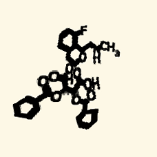 CNCC1OCCc2cccc(F)c21.O=C(O[C@@H](C(=O)O)[C@@H](OC(=O)c1ccccc1)C(=O)O)c1ccccc1